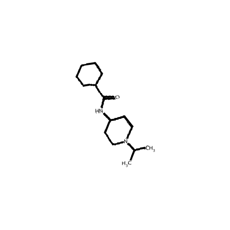 CC(C)N1CCC(NC(=O)C2CCCCC2)CC1